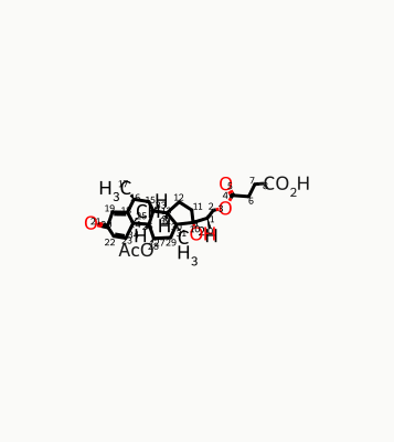 [2H][C@H](COC(=O)CCC(=O)O)[C@@]1(O)CC[C@H]2[C@@H]3C[C@H](C)C4=CC(=O)C=C[C@]4(C)[C@H]3[C@H](OC(C)=O)C[C@@]21C